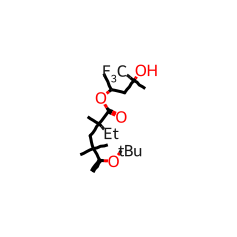 C=C(OC(C)(C)C)C(C)(C)CC(C)(CC)C(=O)OC(C)CC(C)(O)C(F)(F)F